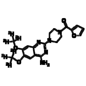 [2H]C([2H])([2H])Oc1cc2nc(N3CCN(C(=O)c4ccco4)CC3)nc(N)c2cc1OC([2H])([2H])[2H]